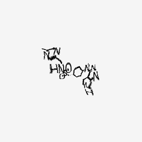 Cc1cnc(CNS(=O)(=O)C[C@H]2CC[C@H](N(C)c3ncnc4[nH]ccc34)CC2)cn1